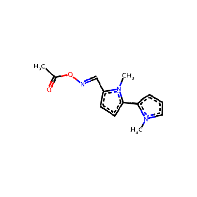 CC(=O)O/N=C/c1ccc(-c2cccn2C)n1C